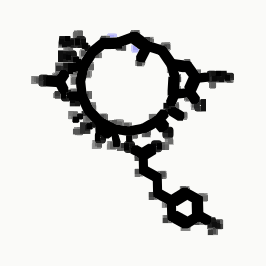 COc1cc2cc(c1Cl)N(C)C(=O)C[C@H](OC(=O)CCCc1ccc(C(C)=O)cc1)[C@]1(C)O[C@H]1[C@H](C)[C@@H]1C[C@@](O)(NC(=O)O1)[C@H](OC)/C=C/C=C(\C)C2